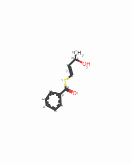 C[C@@H](O)/C=C/SC(=O)c1ccccc1